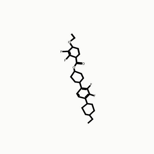 CCOC1CCC(C(=O)OC2CCC(c3ccc(C4CCC(CC)CC4)c(F)c3F)CC2)C(F)=C1F